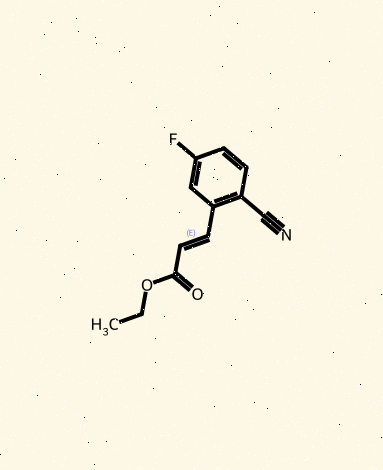 CCOC(=O)/C=C/c1cc(F)ccc1C#N